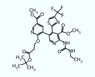 CCNC(=O)Nc1ncc(-c2cc(C(=O)OC)cnc2OCCC(=O)OC(C)(C)C)c(-c2nc(C(F)(F)F)cs2)c1C(=O)OC